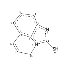 Sc1nc2cccc3c2n1CC=C3